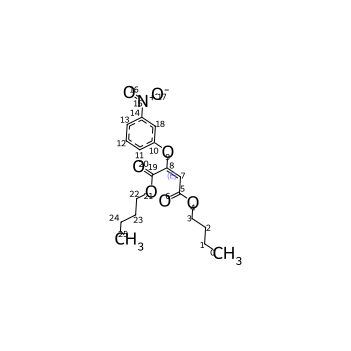 CCCCOC(=O)/C=C(/Oc1cccc([N+](=O)[O-])c1)C(=O)OCCCC